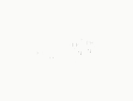 FC(F)(F)COc1ccc(-c2ccc3cnc(C(F)(P)P)n3c2)cc1